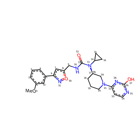 COc1cccc(-c2cc(CNC(=O)N(C3CC3)[C@@H]3CCCN(c4ccnc(O)n4)C3)on2)c1